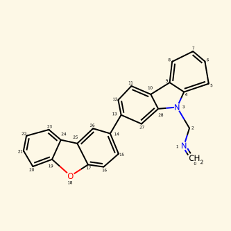 C=NCn1c2ccccc2c2ccc(-c3ccc4oc5ccccc5c4c3)cc21